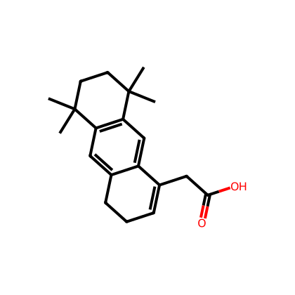 CC1(C)CCC(C)(C)c2cc3c(cc21)CCC=C3CC(=O)O